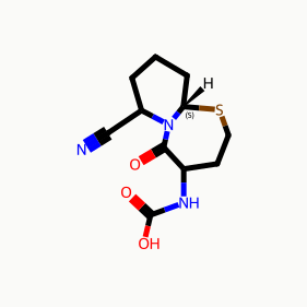 N#CC1CCC[C@@H]2SCCC(NC(=O)O)C(=O)N12